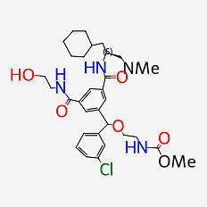 CNC[C@H](CC1CCCCC1)NC(=O)c1cc(C(=O)NCCO)cc(C(OCCNC(=O)OC)c2cccc(Cl)c2)c1